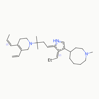 C=CC1=C(/C=C\C)CCN(C(C)(C)CC=c2[nH]cc(C3CCCCN(C)CC3)/c2=C/CC)C1